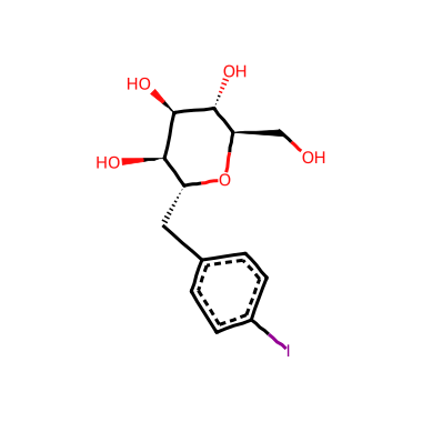 OC[C@H]1O[C@H](Cc2ccc(I)cc2)[C@@H](O)[C@@H](O)[C@@H]1O